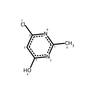 Cc1nc(O)cc(Cl)n1